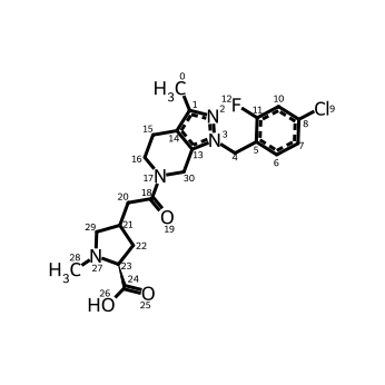 Cc1nn(Cc2ccc(Cl)cc2F)c2c1CCN(C(=O)CC1C[C@@H](C(=O)O)N(C)C1)C2